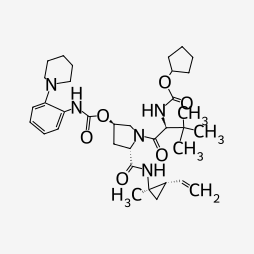 C=C[C@@H]1C[C@@]1(C)NC(=O)[C@@H]1C[C@@H](OC(=O)Nc2ccccc2N2CCCCC2)CN1C(=O)[C@@H](NC(=O)OC1CCCC1)C(C)(C)C